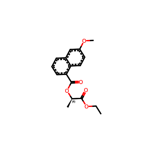 CCOC(=O)[C@@H](C)OC(=O)c1cccc2cc(OC)ccc12